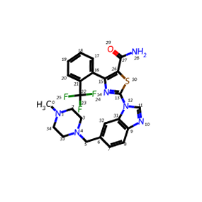 CN1CCN(Cc2ccc3ncn(-c4nc(-c5ccccc5C(F)(F)F)c(C(N)=O)s4)c3c2)CC1